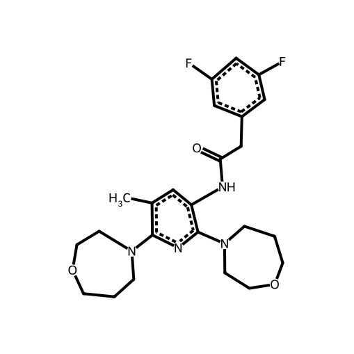 Cc1cc(NC(=O)Cc2cc(F)cc(F)c2)c(N2CCCOCC2)nc1N1CCCOCC1